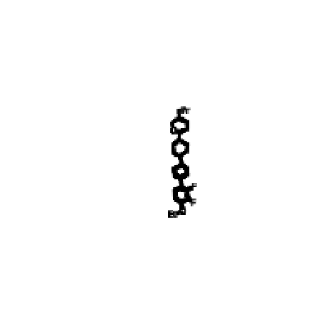 CCCC1=CCC(C2CCC(c3ccc(-c4ccc(OCC)c(F)c4F)cc3)CC2)OC1